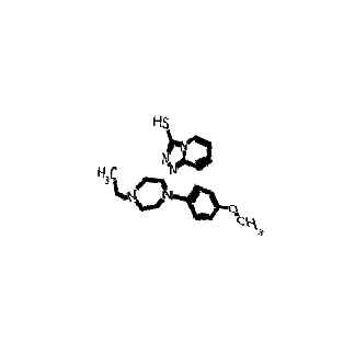 CCN1CCN(c2ccc(OC)cc2)CC1.Sc1nnc2ccccn12